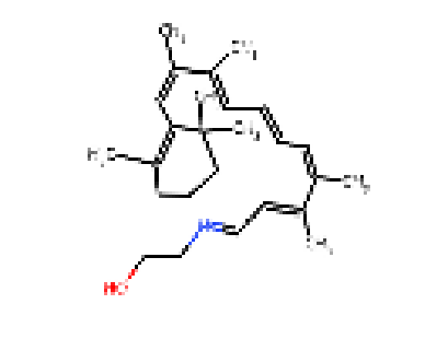 CC(=CC=CC=C(C)C(C)=CC1=C(C)CCCC1(C)C)C(C)=CC=NCCO